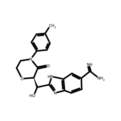 Cc1ccc(N2CCO[C@H](C(O)c3nc4ccc(C(=N)N)cc4[nH]3)C2=O)cc1